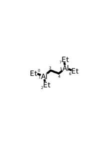 C[CH2][Al]([CH2]C)[CH2][CH2][Al]([CH2]C)[CH2]C